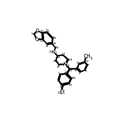 CCc1ccc(C(c2cccc(C)c2)N2CCC(NCc3ccc4c(c3)OCO4)CC2)cc1